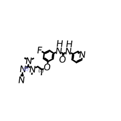 C[C@@H](CN(C)/C(=N\C#N)N(C)C)Oc1cc(F)cc(NC(=O)Nc2cccnc2)c1